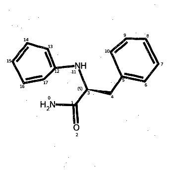 NC(=O)[C@H](Cc1ccccc1)Nc1ccccc1